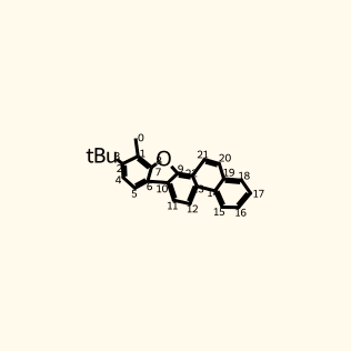 Cc1c(C(C)(C)C)ccc2c1oc1c2ccc2c3ccccc3ccc21